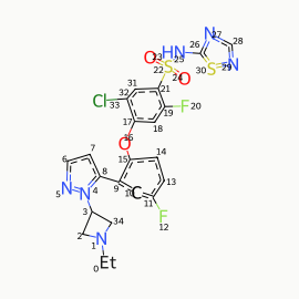 CCN1CC(n2nccc2-c2cc(F)ccc2Oc2cc(F)c(S(=O)(=O)Nc3ncns3)cc2Cl)C1